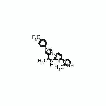 C=C1NCCN1c1ccnc(NC(C)c2cn(-c3ccc(C(F)(F)F)cc3)cn2)n1